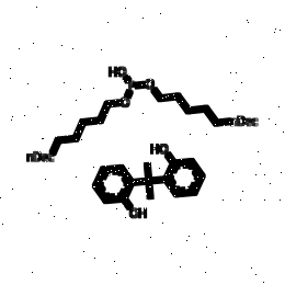 CC(C)(c1ccccc1O)c1ccccc1O.CCCCCCCCCCCCCCCOP(O)OCCCCCCCCCCCCCCC